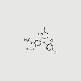 COc1cc2c(cc1OC)C(c1ccc(Cl)cc1Cl)C1CCC(=S)NC21